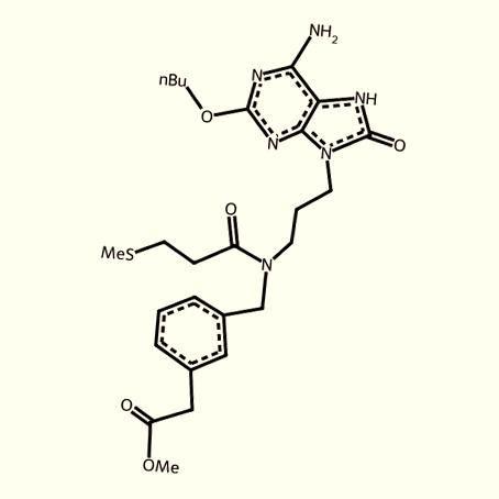 CCCCOc1nc(N)c2[nH]c(=O)n(CCCN(Cc3cccc(CC(=O)OC)c3)C(=O)CCSC)c2n1